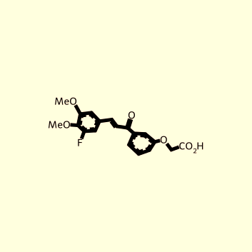 COc1cc(C=CC(=O)c2cccc(OCC(=O)O)c2)cc(F)c1OC